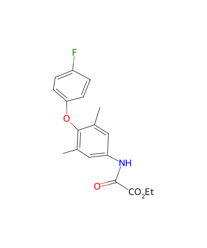 CCOC(=O)C(=O)Nc1cc(C)c(Oc2ccc(F)cc2)c(C)c1